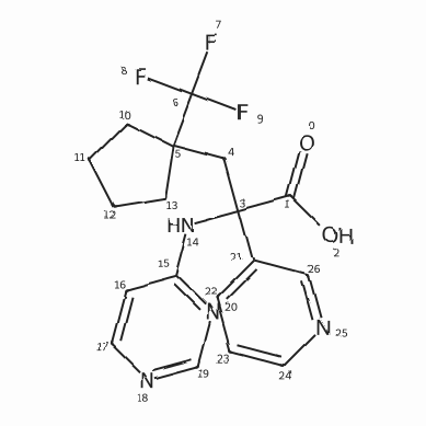 O=C(O)C(CC1(C(F)(F)F)CCCC1)(Nc1ccncn1)c1cccnc1